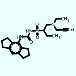 C#CCN(CC)CC(CC)S(=O)(=O)NC(=O)Nc1c2c(cc3c1CCC3)CCC2